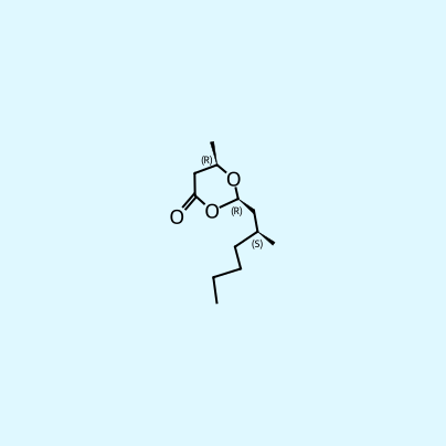 CCCC[C@H](C)C[C@H]1OC(=O)C[C@@H](C)O1